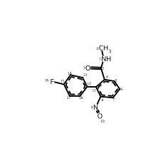 CNC(=O)c1cccc(N=O)c1-c1ccc(F)cc1